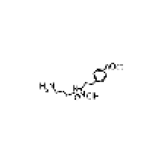 CCCCCCCCc1ccc(CCc2noc(CCCN)n2)cc1.Cl